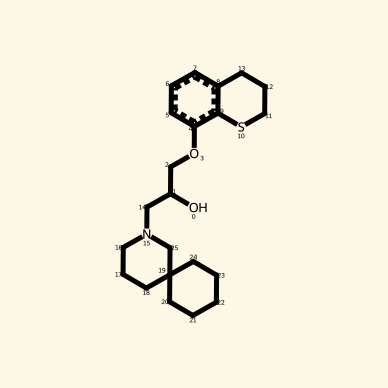 OC(COc1cccc2c1SCCC2)CN1CCCC2(CCCCC2)C1